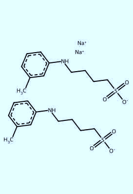 Cc1cccc(NCCCCS(=O)(=O)[O-])c1.Cc1cccc(NCCCCS(=O)(=O)[O-])c1.[Na+].[Na+]